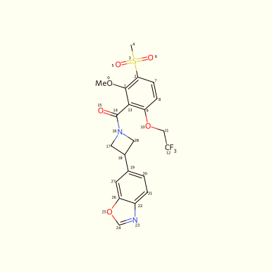 COc1c(S(C)(=O)=O)ccc(OCC(F)(F)F)c1C(=O)N1CC(c2ccc3ncoc3c2)C1